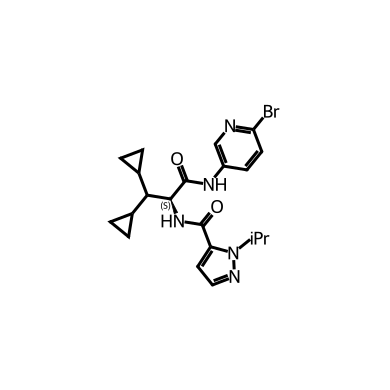 CC(C)n1nccc1C(=O)N[C@H](C(=O)Nc1ccc(Br)nc1)C(C1CC1)C1CC1